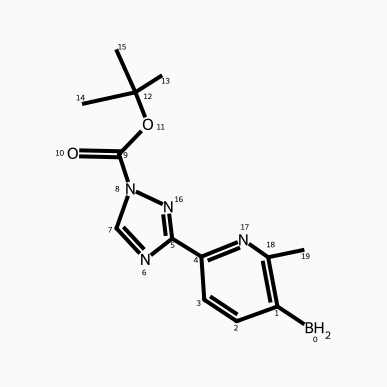 Bc1ccc(-c2ncn(C(=O)OC(C)(C)C)n2)nc1C